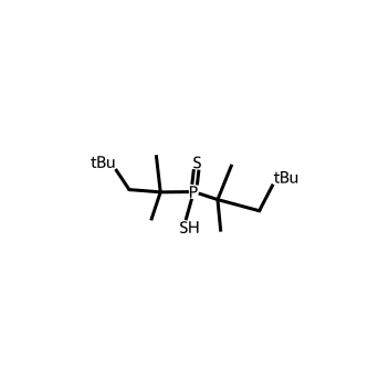 CC(C)(C)CC(C)(C)P(=S)(S)C(C)(C)CC(C)(C)C